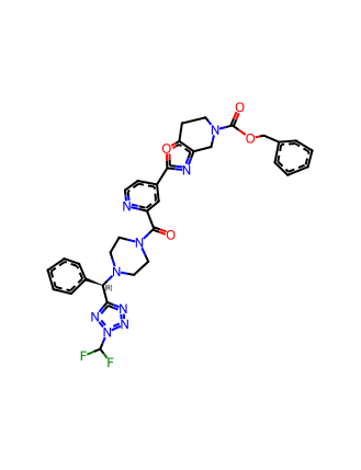 O=C(OCc1ccccc1)N1CCc2oc(-c3ccnc(C(=O)N4CCN([C@H](c5ccccc5)c5nnn(C(F)F)n5)CC4)c3)nc2C1